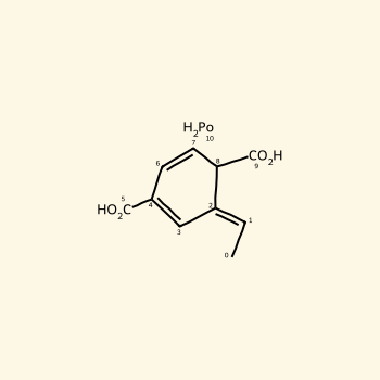 CC=C1C=C(C(=O)O)C=CC1C(=O)O.[PoH2]